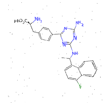 CC(Nc1nc(N)nc(-c2ccc(C[C@H](N)C(=O)O)cc2)n1)c1ccc(F)c2ccccc12